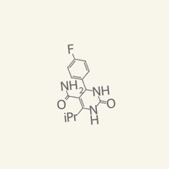 CC(C)C1=C(C(N)=O)C(c2ccc(F)cc2)NC(=O)N1